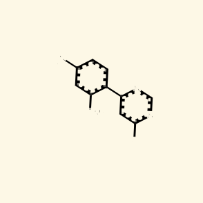 COc1cc([N+](=O)[O-])ccc1-c1cc(C)ncn1